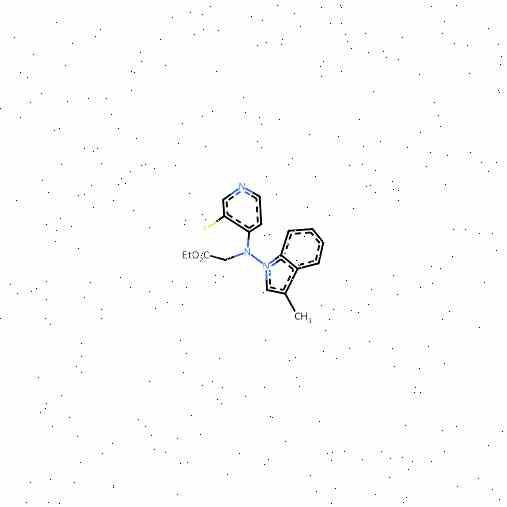 CCOC(=O)CN(c1ccncc1F)n1cc(C)c2ccccc21